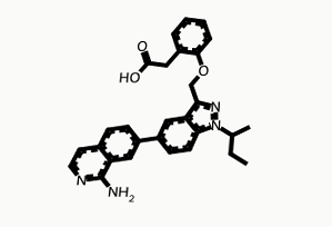 CCC(C)n1nc(COc2ccccc2CC(=O)O)c2cc(-c3ccc4ccnc(N)c4c3)ccc21